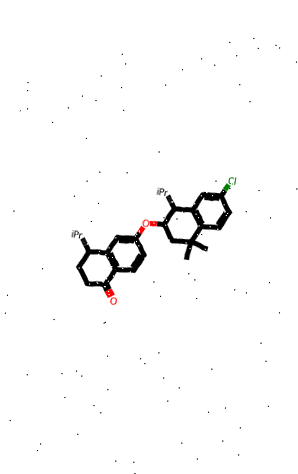 CC(C)C1CCC(=O)c2ccc(OC3CC(C)(C)c4ccc(Cl)cc4C3C(C)C)cc21